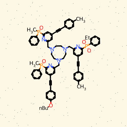 CCCCOc1ccc(C#Cc2cc(CN3CCN(Cc4cc(C#Cc5ccc(C)cc5)cc(P(C)(=O)c5ccccc5)n4)CCN(Cc4cc(C#Cc5ccc(C)cc5)cc(P(=O)(OCC)c5ccccc5)n4)CC3)nc(P(C)(=O)c3ccccc3)c2)cc1